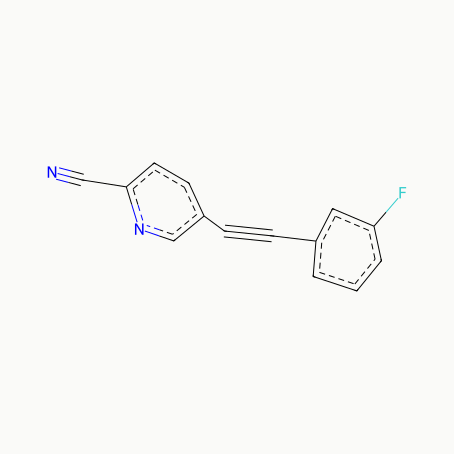 N#Cc1ccc(C#Cc2cccc(F)c2)cn1